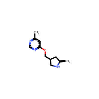 C=C1CC(COc2cc(C)ncn2)CN1